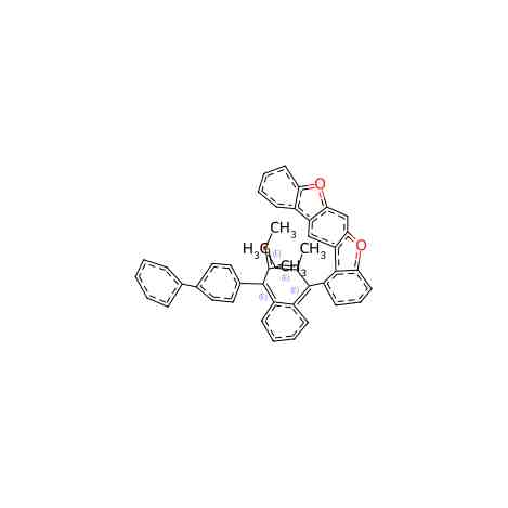 C/C=C(C)/C(c1ccc(-c2ccccc2)cc1)=c1/cccc/c1=C(/C(C)=C/C)c1cccc2oc3cc4oc5ccccc5c4cc3c12